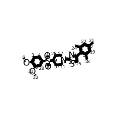 COc1ccc(S(=O)(=O)C2CCN(c3nc(-c4c(C)cc(C)cc4C)cs3)CC2)cc1OC